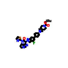 CC(C)(C)OC(=O)N1CCC2(CC1)CN(c1ccc(-c3cc(F)c4cn(C(C(=O)Nc5nccs5)c5ncn6c5CCC6)nc4c3)cc1)C2